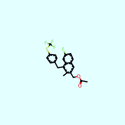 CC(=O)OCc1cc2ccc(F)cc2c(Cc2ccc(SC(F)(F)F)cc2)c1C